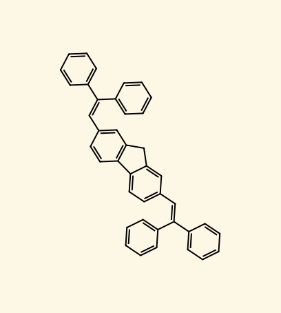 C(=C(c1ccccc1)c1ccccc1)c1ccc2c(c1)Cc1cc(C=C(c3ccccc3)c3ccccc3)ccc1-2